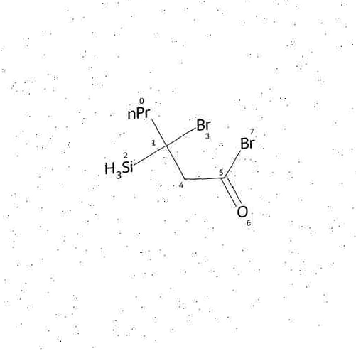 CCCC([SiH3])(Br)CC(=O)Br